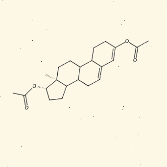 CC(=O)OC1=CC2=CCC3C(CC[C@@]4(C)C3CC[C@@H]4OC(C)=O)C2CC1